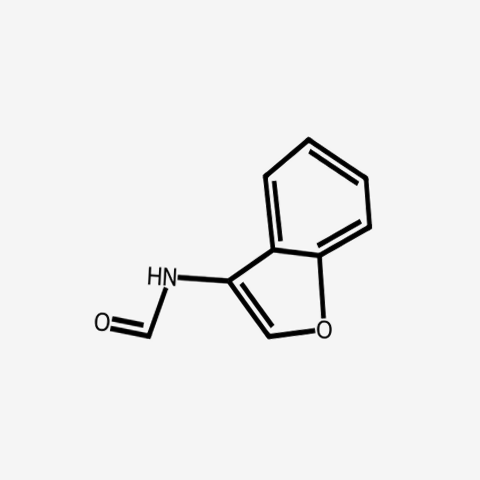 O=CNc1coc2ccccc12